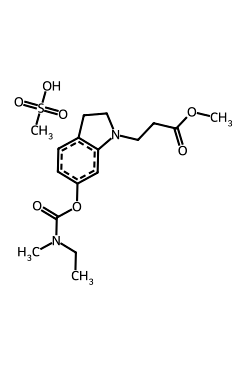 CCN(C)C(=O)Oc1ccc2c(c1)N(CCC(=O)OC)CC2.CS(=O)(=O)O